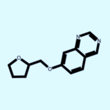 c1ncc2ccc(OCC3CCCO3)cc2n1